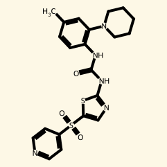 Cc1ccc(NC(=O)Nc2ncc(S(=O)(=O)c3ccncc3)s2)c(N2CCCCC2)c1